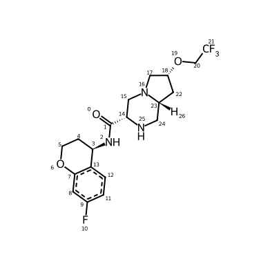 O=C(N[C@@H]1CCOc2cc(F)ccc21)[C@@H]1CN2C[C@H](OCC(F)(F)F)C[C@@H]2CN1